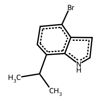 CC(C)c1ccc(Br)c2cc[nH]c12